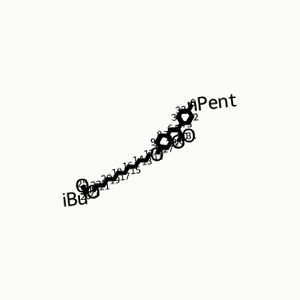 CCCCCc1ccc(-c2cc3ccc(OCCCCCCCCCCCOC(=O)C(C)CC)cc3oc2=O)cc1